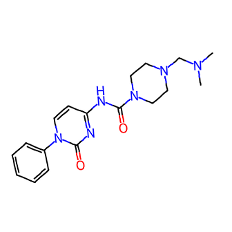 CN(C)CN1CCN(C(=O)Nc2ccn(-c3ccccc3)c(=O)n2)CC1